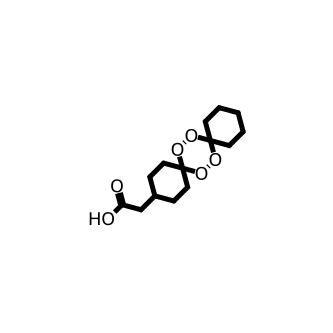 O=C(O)CC1CCC2(CC1)OOC1(CCCCC1)OO2